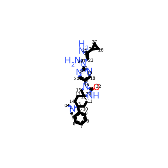 CN(C)[C@]1(c2ccccc2)CC[C@]2(CC1)CN(c1cnc(N(N)/C=C(\N)C3CC3)nc1)C(=O)N2